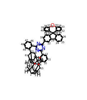 C[C@@H]1C2C[C@@H]3C[C@@H]1CC(c1cccc(-c4nc(-c5ccc6c(c5)-c5ccccc5C65c6ccccc6Oc6ccccc65)nc(-c5ccccc5C56CC7C[C@H](C[C@H](C5)[C@@H]7C)C6)n4)c1)(C2)C3